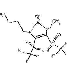 CCCCn1c(S(=O)(=O)C(F)(F)F)c(S(=O)(=O)C(F)(F)F)n(C)c1=N